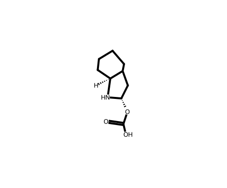 O=C(O)O[C@H]1CC2CCCC[C@@H]2N1